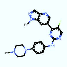 CC(C)N1CCN(c2ccc(Nc3ncc(F)c(-c4cnc5cnn(C(C)C)c5c4)n3)cc2)CC1